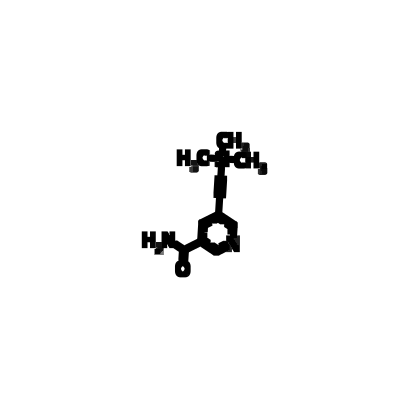 C[Si](C)(C)C#Cc1cncc(C(N)=O)c1